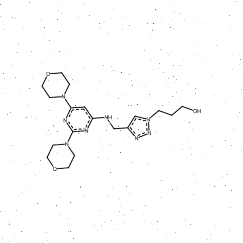 OCCCn1cc(CNc2cc(N3CCOCC3)nc(N3CCOCC3)n2)nn1